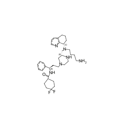 NCCCCN(C[C@H]1CN(CC[C@@H](NC(=O)C2CCC(F)(F)CC2)c2ccccc2)CCN1)[C@H]1CCCc2cccnc21